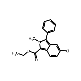 CCOC(=O)c1c2ccc(Cl)cc2c(-c2ccccc2)n1C